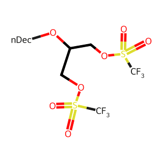 CCCCCCCCCCOC(COS(=O)(=O)C(F)(F)F)COS(=O)(=O)C(F)(F)F